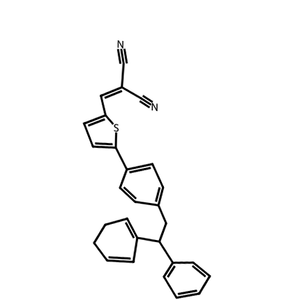 N#CC(C#N)=Cc1ccc(-c2ccc(CC(C3=CCCC=C3)c3ccccc3)cc2)s1